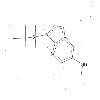 CBc1cnc2c(ccn2[Si](C)(C)C(C)(C)C)c1